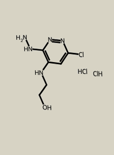 Cl.Cl.NNc1nnc(Cl)cc1NCCO